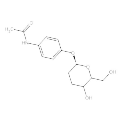 CC(=O)Nc1ccc(O[C@@H]2CCC(O)C(CO)O2)cc1